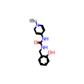 CC(C)(C)N1C=CC(NC(=O)NCc2ccccc2O)=CC1